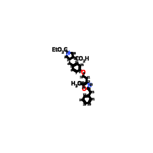 CCOC(=O)N1C[C@@H](Cc2ccc(OCCc3nc(Cc4ccccc4)oc3C)cc2)[C@@H](C(=O)O)C1